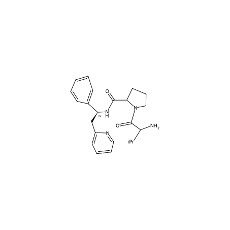 CC(C)C(N)C(=O)N1CCCC1C(=O)N[C@@H](Cc1ccccn1)c1ccccc1